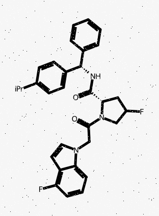 CC(C)c1ccc([C@@H](NC(=O)[C@@H]2CC(F)CN2C(=O)Cn2ccc3c(F)cccc32)c2ccccc2)cc1